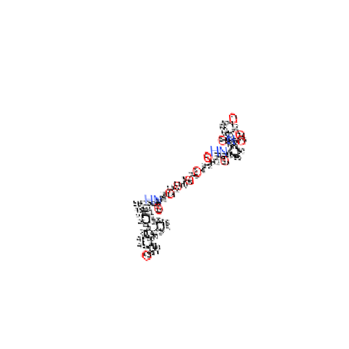 O=C(CCCOCCOCCOCCOCCNC(=O)CCC1(c2ccc(-c3cc4c(cc3-c3ccccc3)C3CCC(=O)C3C=C4)cc2)CCC1)CCC(=O)Nc1cccc2c1C(=O)N([C@H]1CCCC(=O)CC1=O)C2=O